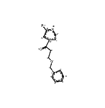 O=C(CCOCc1ccccc1)c1ccnc(F)c1